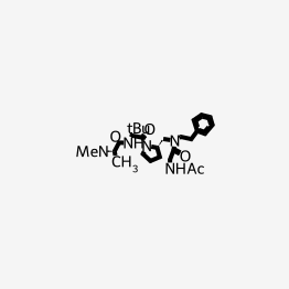 CN[C@@H](C)C(=O)N[C@H](C(=O)N1CCC[C@H]1CN(CCc1ccccc1)C(=O)CNC(C)=O)C(C)(C)C